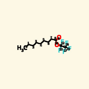 CCCCCCCCC(=O)OC(F)(F)C(F)(F)F